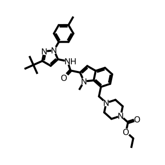 CCOC(=O)N1CCN(Cc2cccc3cc(C(=O)Nc4cc(C(C)(C)C)nn4-c4ccc(C)cc4)n(C)c23)CC1